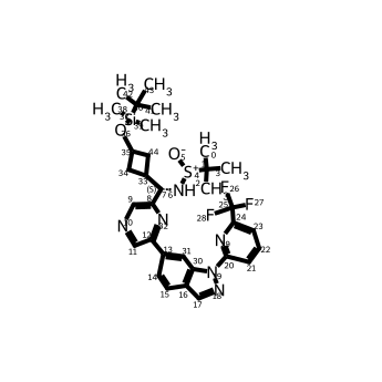 CC(C)(C)[S+]([O-])N[C@H](c1cncc(-c2ccc3cnn(-c4cccc(C(F)(F)F)n4)c3c2)n1)C1CC(O[Si](C)(C)C(C)(C)C)C1